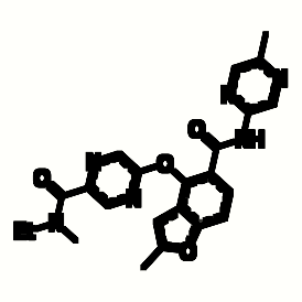 CCN(C)C(=O)c1cnc(Oc2c(C(=O)Nc3cnc(C)cn3)ccc3oc(C)cc23)cn1